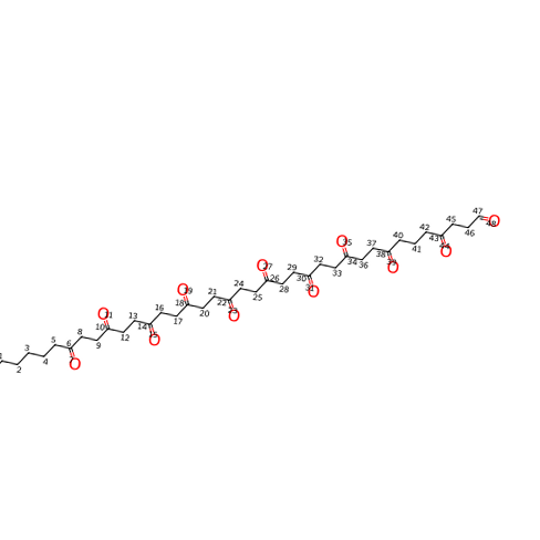 CCCCCCC(=O)CCC(=O)CCC(=O)CCC(=O)CCC(=O)CCC(=O)CCC(=O)CCC(=O)CCC(=O)CCCC(=O)CCC=O